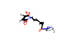 CNC(=O)CCCCCN1C(=O)CCC1=O